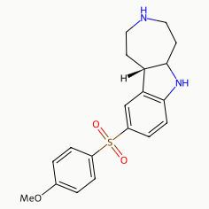 COc1ccc(S(=O)(=O)c2ccc3c(c2)[C@@H]2CCNCCC2N3)cc1